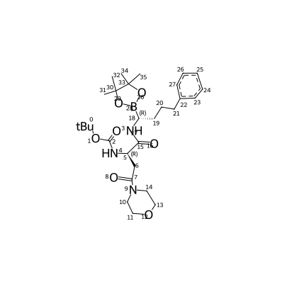 CC(C)(C)OC(=O)N[C@H](CC(=O)N1CCOCC1)C(=O)N[C@@H](CCCc1ccccc1)B1OC(C)(C)C(C)(C)O1